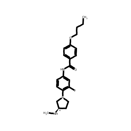 CCCCOc1ccc(C(=O)Nc2ccc(N3CC[C@@H](NC)C3)c(F)c2)cc1